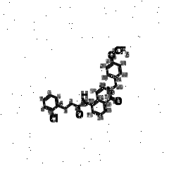 O=C(CCc1ccccc1Cl)Nc1cccc2c(=O)n(Cc3ccc(OC(F)(F)F)cc3)ccc12